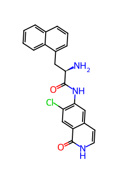 N[C@H](Cc1cccc2ccccc12)C(=O)Nc1cc2cc[nH]c(=O)c2cc1Cl